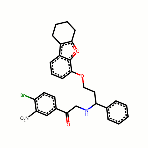 O=C(CNC(CCOc1cccc2c3c(oc12)CCCC3)c1ccccc1)c1ccc(Br)c([N+](=O)[O-])c1